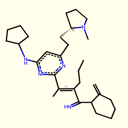 C=C1CCCCC1C(=N)/C(CCC)=C(\C)c1nc(CC[C@@H]2CCCN2C)cc(NC2CCCC2)n1